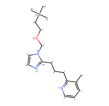 Cc1cccnc1CC[CH]c1nccn1COCC[Si](C)(C)C